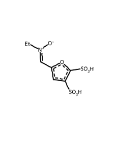 CC[N+]([O-])=Cc1cc(S(=O)(=O)O)c(S(=O)(=O)O)o1